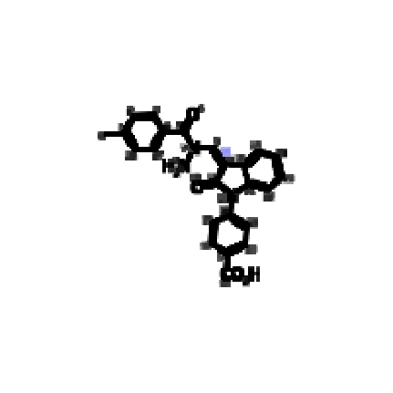 Cc1ccc(C(=O)N(N)/C=C2\C(=O)N(c3ccc(C(=O)O)cc3)c3ccccc32)cc1